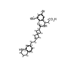 CC(C)(C)c1cc(Br)cc(C(CC(=O)O)NC(=O)C2CC3(C2)CN(CCc2ccc4c(n2)NCCC4)C3)c1